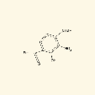 CCC(=O)c1ccc(NC(C)=O)c([N+](=O)[O-])c1O